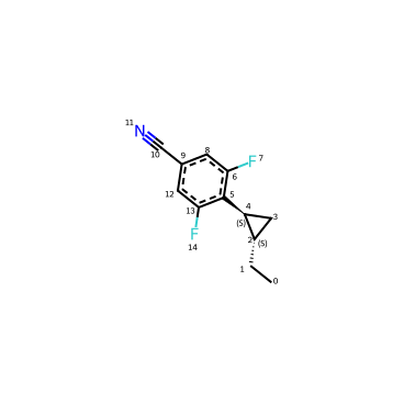 CC[C@H]1C[C@@H]1c1c(F)cc(C#N)cc1F